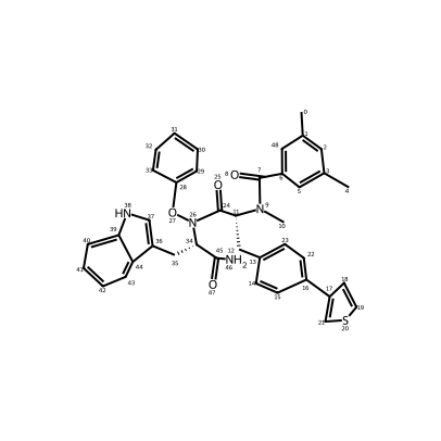 Cc1cc(C)cc(C(=O)N(C)[C@H](Cc2ccc(-c3ccsc3)cc2)C(=O)N(Oc2ccccc2)[C@@H](Cc2c[nH]c3ccccc23)C(N)=O)c1